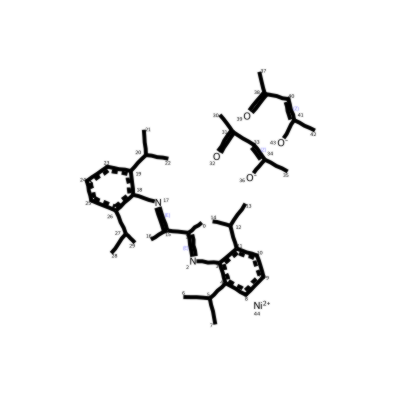 CC(=N\c1c(C(C)C)cccc1C(C)C)/C(C)=N/c1c(C(C)C)cccc1C(C)C.CC(=O)/C=C(/C)[O-].CC(=O)/C=C(/C)[O-].[Ni+2]